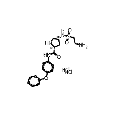 Cl.Cl.NCCS(=O)(=O)N[C@H]1CN[C@H](C(=O)Nc2ccc(Oc3ccccc3)cc2)C1